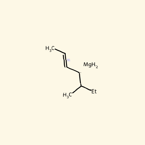 C/C=C/[CH]C(C)CC.[MgH2]